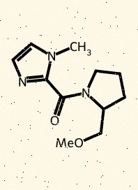 COCC1CCCN1C(=O)c1nccn1C